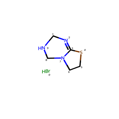 Br.C1N=C2SCCN2CN1